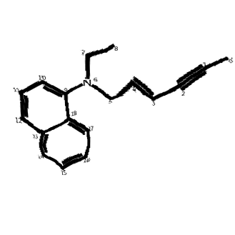 [CH2]C#CC=CCN(CC)c1cccc2ccccc12